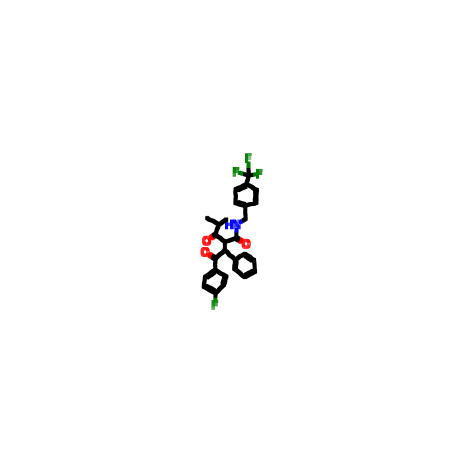 CC(C)C(=O)C(C(=O)NCc1ccc(C(F)(F)F)cc1)C(C(=O)c1ccc(F)cc1)c1ccccc1